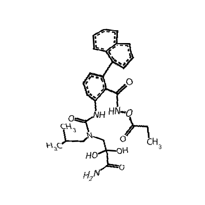 CCC(=O)ONC(=O)c1c(NC(=O)N(CC(C)C)CC(O)(O)C(N)=O)cccc1-c1cccc2ccccc12